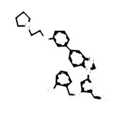 C[C@@H](Oc1cc(-n2cnc3cc(-c4cccc(OCCN5CCCC5)c4)ccc32)sc1C=O)c1ccccc1Cl